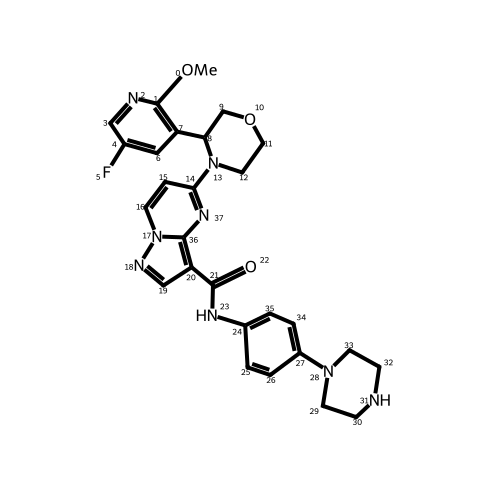 COc1ncc(F)cc1C1COCCN1c1ccn2ncc(C(=O)Nc3ccc(N4CCNCC4)cc3)c2n1